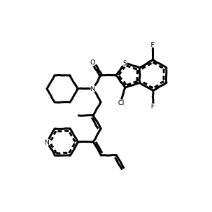 C=C/C=C(\C=C(/C)CN(C(=O)c1sc2c(F)ccc(F)c2c1Cl)C1CCCCC1)c1ccncc1